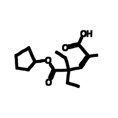 CCC(C=C(C)C(=O)O)(CC)C(=O)OC1CCCC1